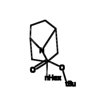 CCCCCCC1CC2CCC(C1)N2C(=O)OC(C)(C)C